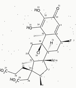 C[C@@H]1C[C@H]2[C@@H]3C[C@H](F)C4=CC(=O)C(O)=C(O)[C@]4(C)[C@@]3(Cl)CC[C@]2(C)[C@@]1(CCC(=O)O)CC(=O)O